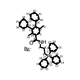 Cc1cc(C(=O)NCCC[P+](c2ccccc2)(c2ccccc2)c2ccccc2)c(C)c(-c2ccccc2)c1-c1ccccc1.[Br-]